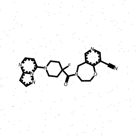 N#Cc1cncc2c1OCCN(C(=O)C1(F)CCN(c3ccnc4ccnn34)CC1)C2